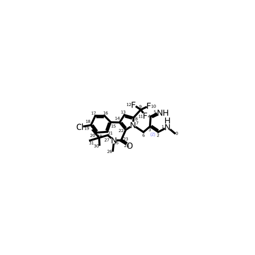 CN/C=C(\C=N)Cn1c(C(F)(F)F)cc(-c2ccc(Cl)cc2)c1C(=O)N(C)CC(C)(C)C